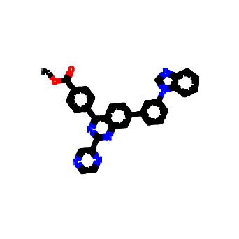 CC(C)OC(=O)c1ccc(-c2nc(-c3cnccn3)nc3cc(-c4cccc(-n5cnc6ccccc65)c4)ccc23)cc1